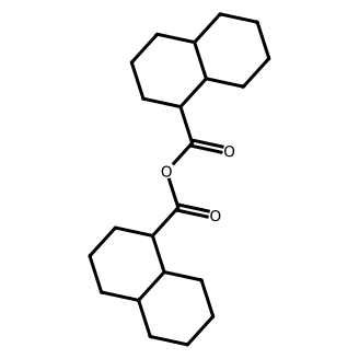 O=C(OC(=O)C1CCCC2CCCCC21)C1CCCC2CCCCC21